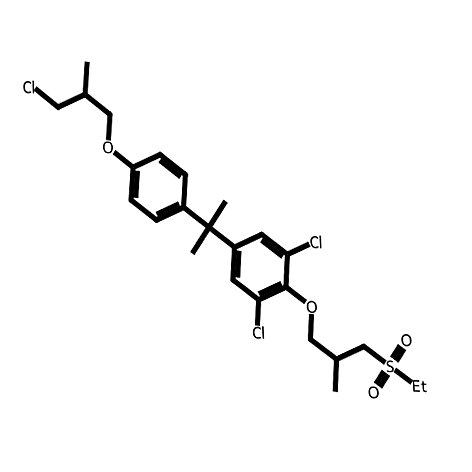 CCS(=O)(=O)CC(C)COc1c(Cl)cc(C(C)(C)c2ccc(OCC(C)CCl)cc2)cc1Cl